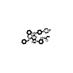 C=CC(=O)Nc1cccc(-n2cnc3c(N(Cc4ccccc4)Cc4ccccc4)nc(Nc4ccc(N5CCN(C)CC5)cc4)nc32)c1